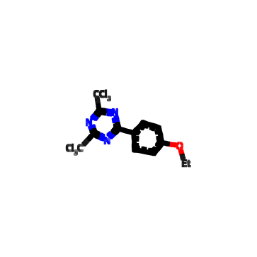 CCOc1ccc(-c2nc(C(Cl)(Cl)Cl)nc(C(Cl)(Cl)Cl)n2)cc1